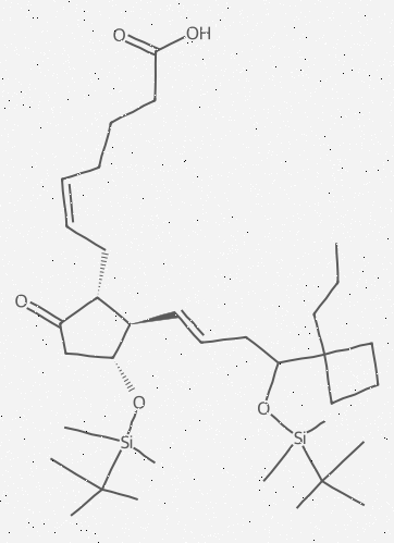 CCCC1(C(C/C=C/[C@H]2[C@H](O[Si](C)(C)C(C)(C)C)CC(=O)[C@@H]2C/C=C\CCCC(=O)O)O[Si](C)(C)C(C)(C)C)CCC1